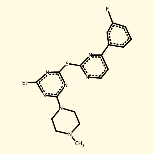 CCc1nc(Sc2nccc(-c3cccc(F)c3)n2)nc(N2CCN(C)CC2)n1